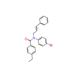 CCc1ccc(C(=O)N(C/C=C/c2ccccc2)c2ccc(Br)cc2)cc1